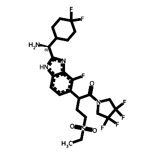 CCS(=O)(=O)CCC(C(=O)N1CC(F)(F)C(F)(F)C1)c1ccc2[nH]c([C@@H](N)C3CCC(F)(F)CC3)nc2c1F